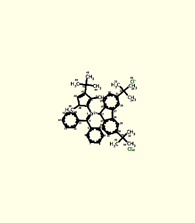 CC1=[C]([Zr+2](=[C](c2ccccc2)c2ccccc2)[CH]2c3ccc(C(C)(C)C)cc3-c3cc(C(C)(C)C)ccc32)C(C)C=C1C(C)(C)C.[Cl-].[Cl-]